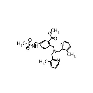 COC(=O)c1cc(CNS(C)(=O)=O)ccc1CN(Cc1ncccc1C)Cc1ncccc1C